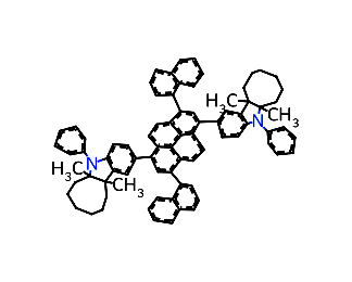 CC12CCCCCCC1(C)N(c1ccccc1)c1ccc(-c3cc(-c4cccc5ccccc45)c4ccc5c(-c6ccc7c(c6)C6(C)CCCCCCC6(C)N7c6ccccc6)cc(-c6cccc7ccccc67)c6ccc3c4c56)cc12